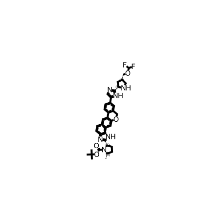 C[C@H]1CC[C@@H](c2nc3ccc4cc5c(cc4c3[nH]2)OCc2cc(-c3cnc([C@@H]4C[C@H](COC(F)F)CN4)[nH]3)ccc2-5)N1C(=O)OC(C)(C)C